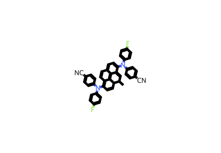 CC1C=c2c(N(c3ccc(F)cc3)c3ccc(C#N)cc3)ccc3ccc4c(c23)C1C=CC=4N(c1ccc(F)cc1)c1ccc(C#N)cc1